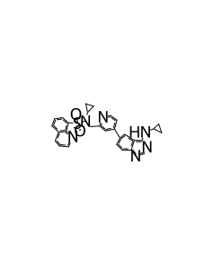 O=S(=O)(c1cccc2cccnc12)N(Cc1cc(-c2ccc3ncnc(NC4CC4)c3c2)ccn1)C1CC1